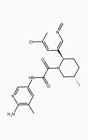 C=N/C=C(\C=C(/C)Cl)[C@H]1CC[C@H](C)CN1C(=O)C(=O)Nc1cnc(N)c(C)c1